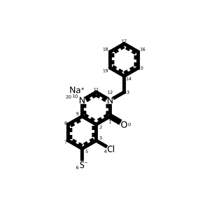 O=c1c2c(Cl)c([S-])ccc2ncn1Cc1ccccc1.[Na+]